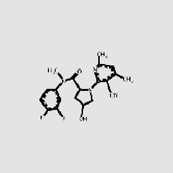 Cc1cc(C)c(C#N)c(N2CC(O)CC2C(=O)N(C)c2ccc(F)c(F)c2)n1